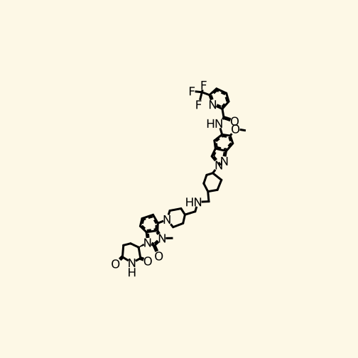 COc1cc2nn(C3CCC(CNCC4CCN(c5cccc6c5n(C)c(=O)n6[C@@H]5CCC(=O)NC5=O)CC4)CC3)cc2cc1NC(=O)c1cccc(C(F)(F)F)n1